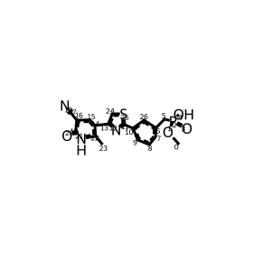 COP(=O)(O)Cc1cccc(-c2nc(-c3cc(C#N)c(=O)[nH]c3C)cs2)c1